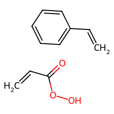 C=CC(=O)OO.C=Cc1ccccc1